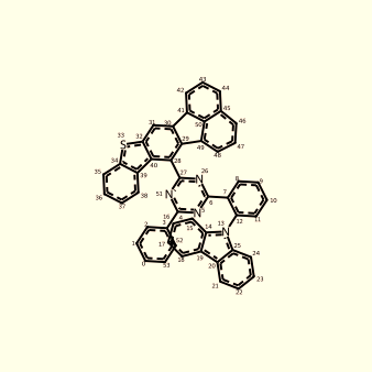 c1ccc(-c2nc(-c3ccccc3-n3c4ccccc4c4ccccc43)nc(-c3c4c(cc5sc6ccccc6c35)-c3cccc5cccc-4c35)n2)cc1